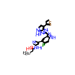 CC(C)(C)CC(O)Nc1cncc(-c2cc3c(-c4nc5c(-c6ccsc6)ccnc5[nH]4)n[nH]c3cc2F)c1